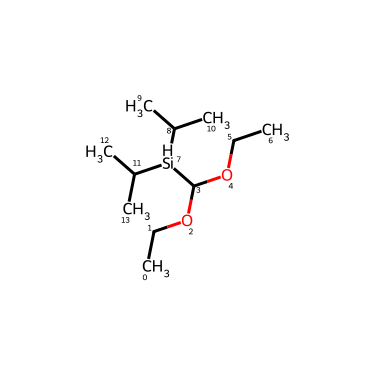 CCOC(OCC)[SiH](C(C)C)C(C)C